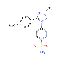 COc1ccc(-c2nc(C(F)(F)F)nn2-c2ccc(S(N)(=O)=O)nc2)cc1